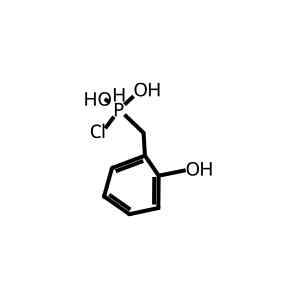 Oc1ccccc1C[PH](O)(O)Cl